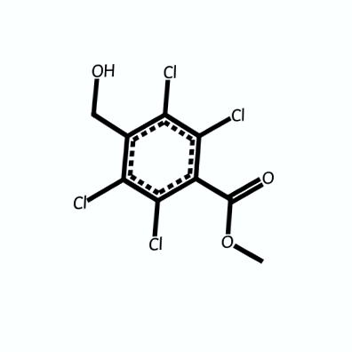 COC(=O)c1c(Cl)c(Cl)c(CO)c(Cl)c1Cl